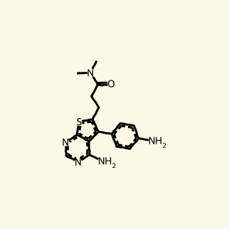 CN(C)C(=O)CCc1sc2ncnc(N)c2c1-c1ccc(N)cc1